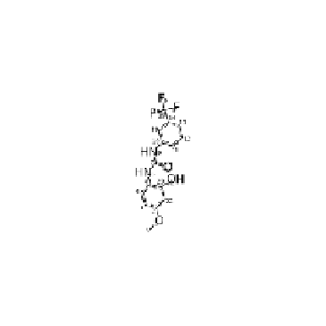 COc1ccc(NC(=O)Nc2cccc(C(F)(F)F)c2)c(O)c1